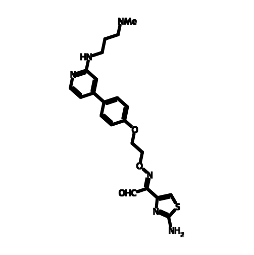 CNCCCNc1cc(-c2ccc(OCCO/N=C(\C=O)c3csc(N)n3)cc2)ccn1